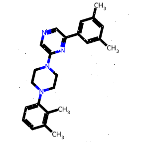 Cc1cc(C)cc(-c2cncc(N3CCN(c4cccc(C)c4C)CC3)n2)c1